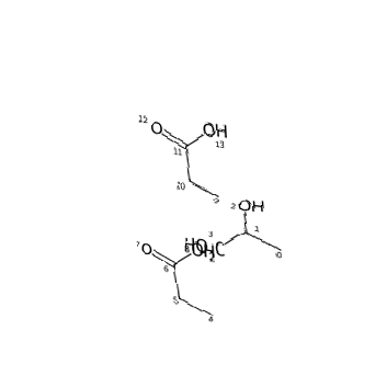 CC(O)C(=O)O.CCC(=O)O.CCC(=O)O